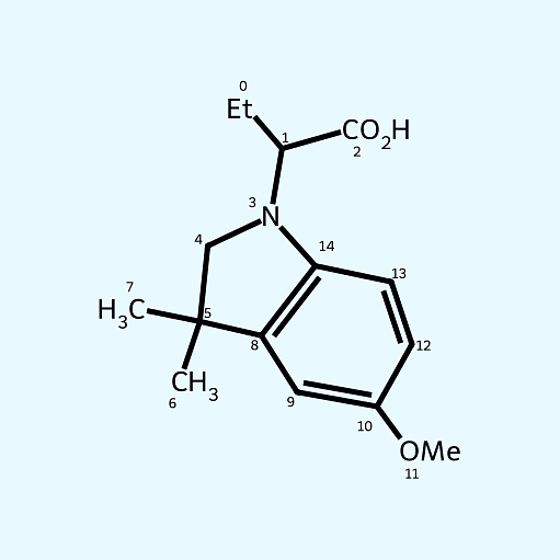 CCC(C(=O)O)N1CC(C)(C)c2cc(OC)ccc21